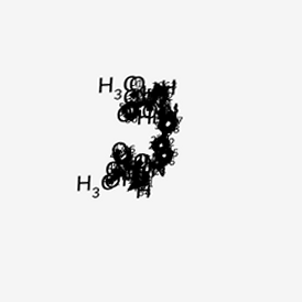 COC(=O)N[C@H](C(=O)N1[C@@H]2C[C@@H]2C[C@H]1c1nc2ccc(-c3ccc4c(ccc5nc([C@@H]6C[C@H]7C[C@H]7N6C(=O)[C@@H](NC(=O)OC)C6CCOCC6)[nH]c54)c3)cc2[nH]1)C1CCOCC1